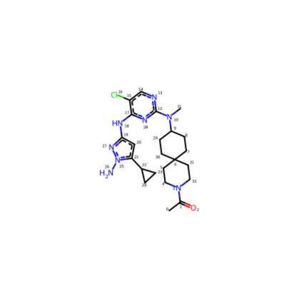 CC(=O)N1CCC2(CCC(N(C)c3ncc(Cl)c(Nc4cc(C5CC5)n(N)n4)n3)CC2)CC1